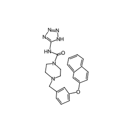 O=C(Nc1nnn[nH]1)N1CCN(Cc2cccc(Oc3ccc4ccccc4c3)c2)CC1